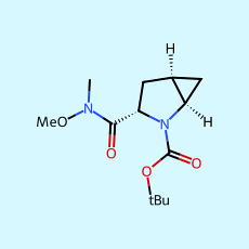 CON(C)C(=O)[C@@H]1C[C@H]2C[C@H]2N1C(=O)OC(C)(C)C